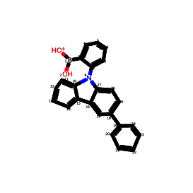 OB(O)c1ccccc1-n1c2ccccc2c2cc(-c3ccccc3)ccc21